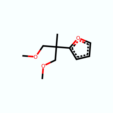 COCC(C)(COC)c1ccco1